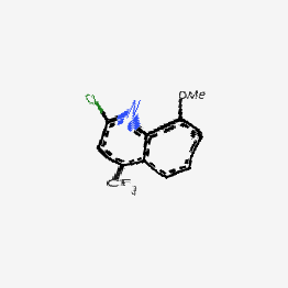 COc1cccc2c(C(F)(F)F)cc(Cl)nc12